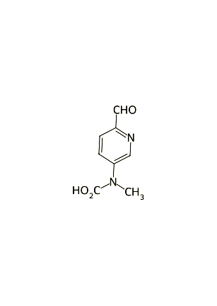 CN(C(=O)O)c1ccc(C=O)nc1